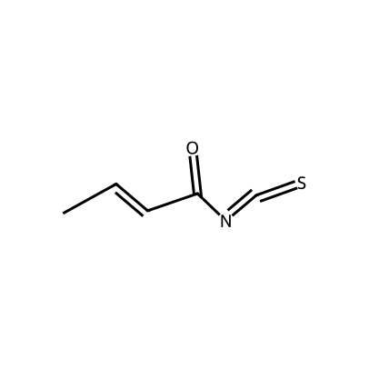 CC=CC(=O)N=C=S